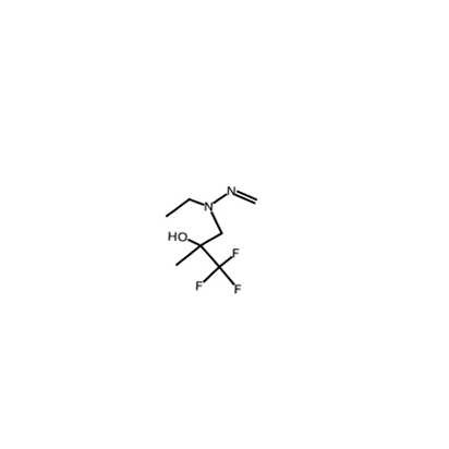 C=NN(CC)CC(C)(O)C(F)(F)F